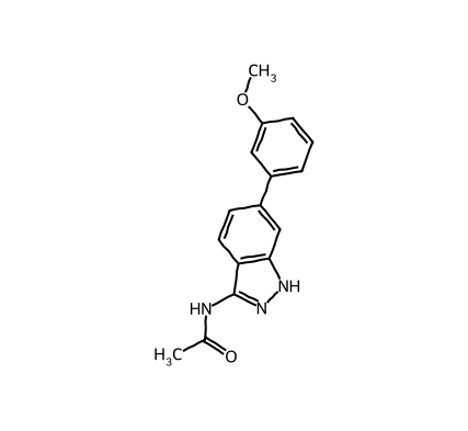 COc1cccc(-c2ccc3c(NC(C)=O)n[nH]c3c2)c1